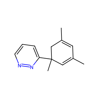 CC1=CC(C)(c2cccnn2)CC(C)=C1